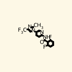 Cc1nc(C(F)(F)F)cn1-c1ccc(NC(=O)c2c(F)cccc2F)nc1